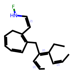 C\C=C/C(CC)=C(\C=C/C)CC1=C(/C=C\NF)CC=CC=C1